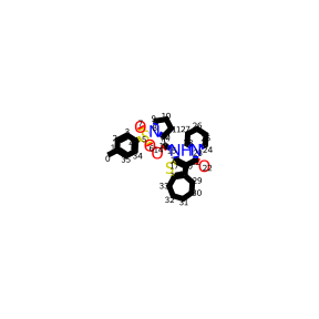 Cc1ccc(S(=O)(=O)N2CCC[C@@H]2C(=O)Nc2sc3c(c2C(=O)N2CCCCC2)CCCCC3)cc1